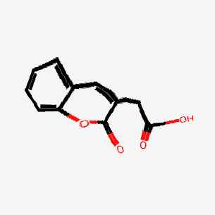 O=C(O)Cc1cc2ccccc2oc1=O